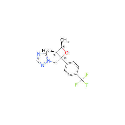 C[C@H]1O[C@@](Cn2cncn2)(c2ccc(C(F)(F)F)cc2)[C@H]1C